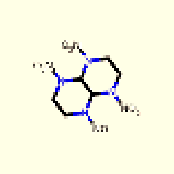 O=NN1CCN([N+](=O)[O-])C2C1N([N+](=O)[O-])CCN2[N+](=O)[O-]